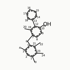 Cc1cc(C)c(Cc2ccc(O)c(-c3ccccc3)c2C)c(C)c1C